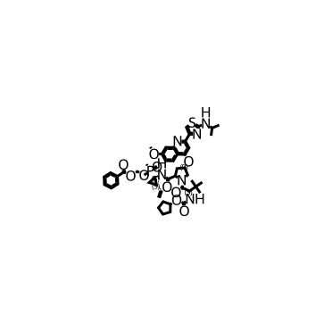 C=C[C@@H]1C[C@]1(NC(=O)C1C[C@@H](Oc2cc(-c3csc(NC(C)C)n3)nc3cc(OC)ccc23)CN1C(=O)[C@@H](NC(=O)OC1CCCC1)C(C)(C)C)P(C)(=O)OCOC(=O)c1ccccc1